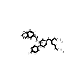 CCCCC(CC)CN1CC[C@@H](c2ccc(F)cc2)[C@H](COc2ccc3c(c2)OCO3)C1